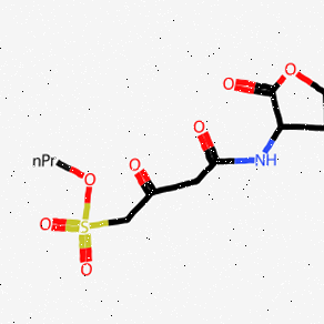 CCCOS(=O)(=O)CC(=O)CC(=O)NC1CCOC1=O